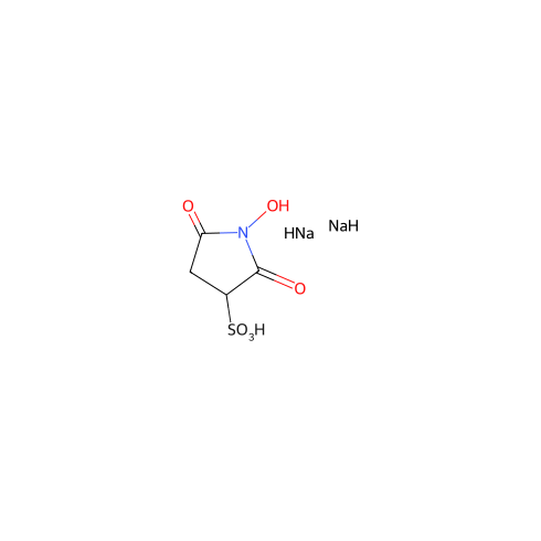 O=C1CC(S(=O)(=O)O)C(=O)N1O.[NaH].[NaH]